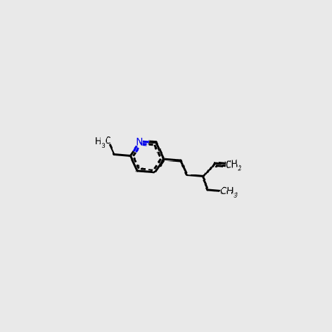 C=CC(CC)CCc1ccc(CC)nc1